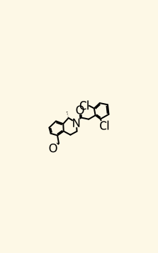 C[C@H]1c2cccc(C=O)c2CCN1C(=O)Cc1c(Cl)cccc1Cl